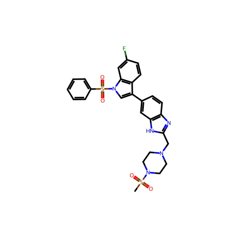 CS(=O)(=O)N1CCN(Cc2nc3ccc(-c4cn(S(=O)(=O)c5ccccc5)c5cc(F)ccc45)cc3[nH]2)CC1